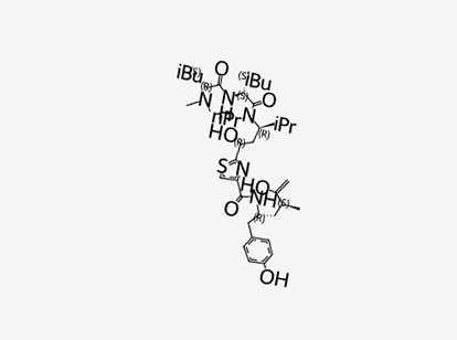 C=C(O)[C@@H](C)C[C@H](Cc1ccc(O)cc1)NC(=O)c1csc([C@H](O)C[C@H](C(C)C)N(CCC)C(=O)[C@@H](NC(=O)[C@@H]([C@@H](C)CC)N(C)C)[C@@H](C)CC)n1